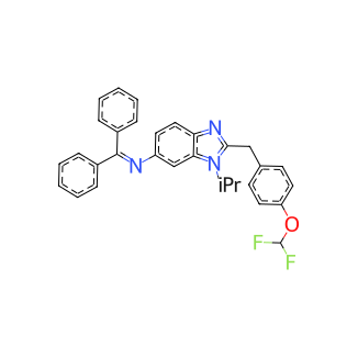 CC(C)n1c(Cc2ccc(OC(F)F)cc2)nc2ccc(N=C(c3ccccc3)c3ccccc3)cc21